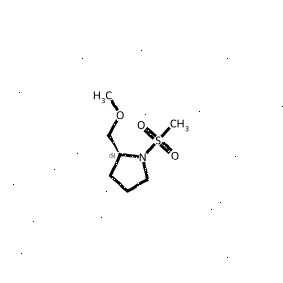 COC[C@@H]1CCCN1S(C)(=O)=O